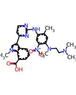 Cc1cc(N(C)CCN(C)C)c([N+](=O)[O-])cc1Nc1nccc(-c2cn(C)c3c(C(=O)O)cccc23)n1